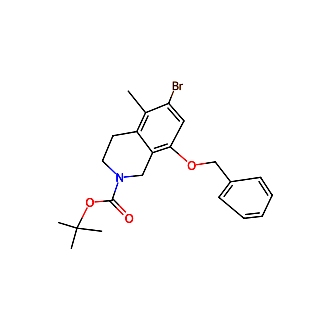 Cc1c(Br)cc(OCc2ccccc2)c2c1CCN(C(=O)OC(C)(C)C)C2